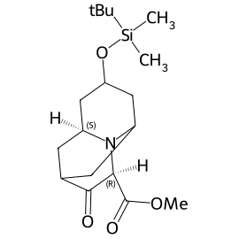 COC(=O)[C@H]1C(=O)C2CC3CC(O[Si](C)(C)C(C)(C)C)C[C@H](C2)N31